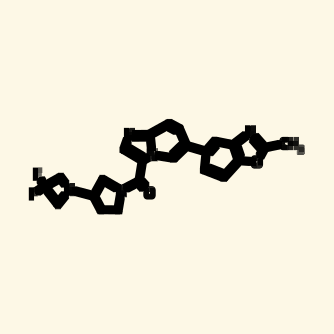 Cc1nc2cc(-c3ccc4ncc(C(=O)N5CCC(N6CC(F)(F)C6)C5)n4c3)ccc2o1